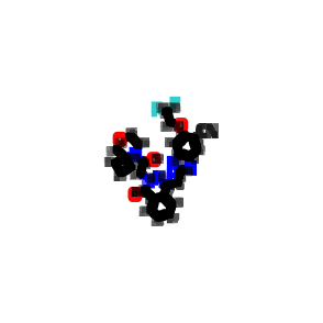 N#Cc1cc2nc(Cc3nn(CC(=O)N4CCOCC45CCC5)c(=O)c4ccccc34)[nH]c2cc1OCC(F)F